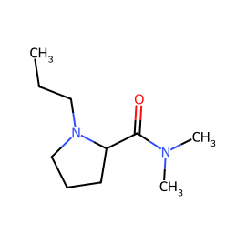 CCCN1CCCC1C(=O)N(C)C